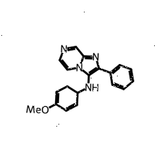 COC1=CCC(Nc2c(-c3ccccc3)nc3cnccn23)C=C1